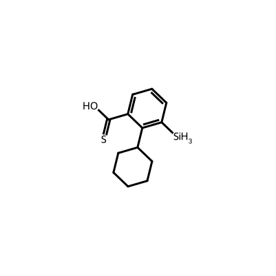 OC(=S)c1cccc([SiH3])c1C1CCCCC1